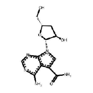 NC(=O)c1cn([C@@H]2O[C@H](CO)C[C@H]2O)c2ncnc(N)c12